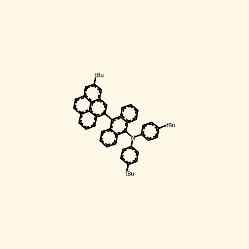 CC(C)(C)c1ccc(N(c2ccc(C(C)(C)C)cc2)c2c3ccccc3c(-c3cc4cc(C(C)(C)C)cc5ccc6cccc3c6c54)c3ccccc23)cc1